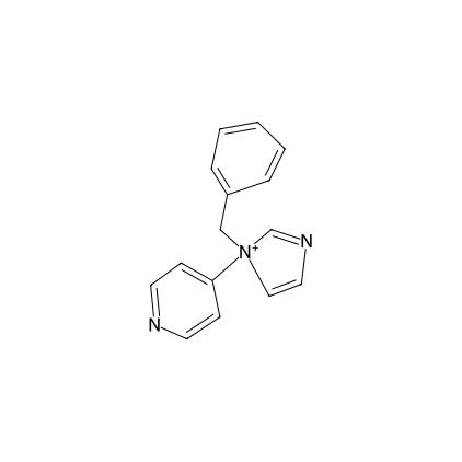 C1=C[N+](Cc2ccccc2)(c2ccncc2)C=N1